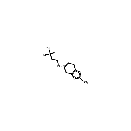 [2H]C([2H])([2H])CCN[C@@H]1CCc2nc(N)sc2C1